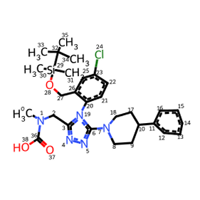 CN(Cc1nnc(N2CCC(c3ccccc3)CC2)n1-c1ccc(Cl)cc1CO[Si](C)(C)C(C)(C)C)C(=O)O